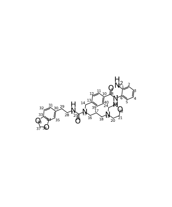 Nc1ccccc1NC(=O)c1ccc(CN(CCCN2CCOCC2)C(=O)NCCc2ccc3c(c2)OCO3)cc1